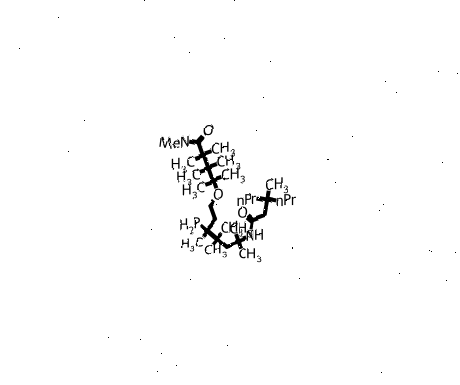 CCCC(C)(CCC)CC(=O)NC(C)(C)CC(C)(C)C(C)(P)CCOC(C)(C)C(C)(C)C(C)(C)C(=O)NC